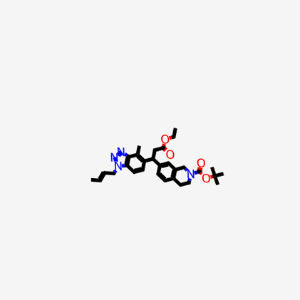 CC=CCn1nnc2c(C)c(C(CC(=O)OCC)c3ccc4c(c3)CN(C(=O)OC(C)(C)C)CC4)ccc21